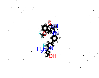 CC1(O)CC(N)(c2ncc(-c3ccc4nc5n(c4c3)[C@@H]3C[C@H]5NC(=O)c4cccc(OC(F)F)c43)cc2F)C1